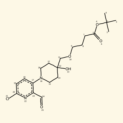 CC(C)(C)OC(=O)CCCOCC1(O)CCN(c2ccc(Cl)nc2C=O)CC1